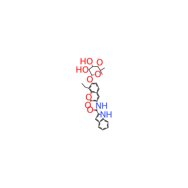 CCc1c(OC2OC(C)(C)C(OC)C(O)C2O)ccc2cc(NC(=O)c3cc4ccccc4[nH]3)c(=O)oc12